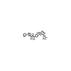 CC1CN(c2ncnc3[nH]c(-c4ccc(NC(=O)Nc5cc(-c6cccnc6)no5)cc4)cc23)CC(C)O1